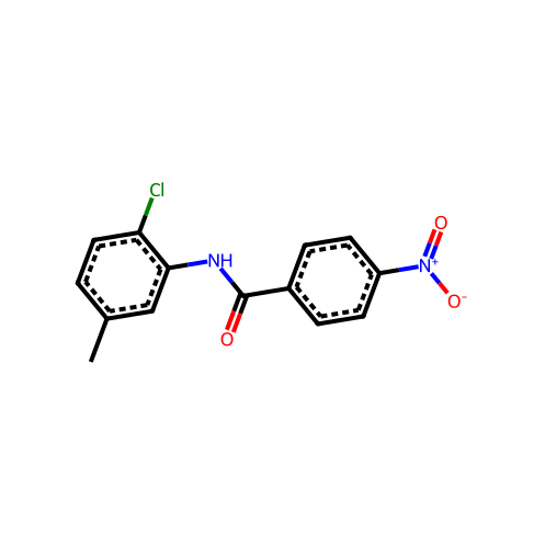 Cc1ccc(Cl)c(NC(=O)c2ccc([N+](=O)[O-])cc2)c1